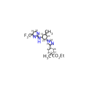 CCOC(=O)C1(C)CC=C(c2cn(-c3cc(C)cc(Nc4nccc(C(F)(F)F)n4)c3)cn2)CC1